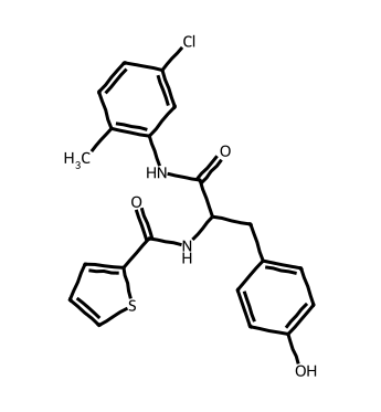 Cc1ccc(Cl)cc1NC(=O)C(Cc1ccc(O)cc1)NC(=O)c1cccs1